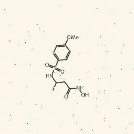 COc1ccc(S(=O)(=O)NC(C)CC(=O)NO)cc1